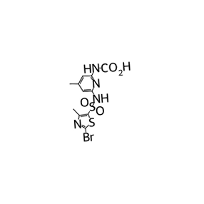 Cc1cc(NC(=O)O)nc(NS(=O)(=O)c2sc(Br)nc2C)c1